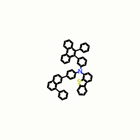 c1ccc(-c2cccc3ccc(-c4ccc(N(c5cccc(-c6c(-c7ccccc7)c7ccccc7c7ccccc67)c5)c5cccc6c5sc5ccccc56)cc4)cc23)cc1